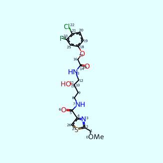 COCc1nc(C(=O)NCC[C@H](O)CNC(=O)COc2ccc(Cl)c(F)c2)cs1